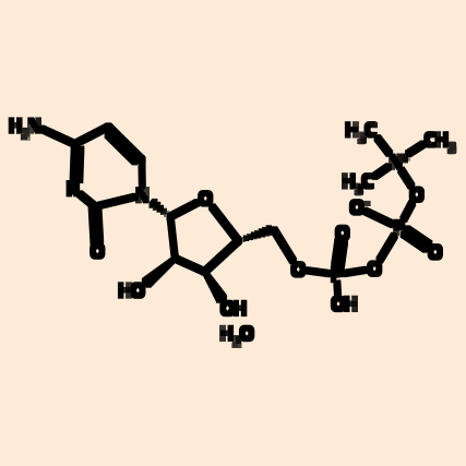 C[N+](C)(C)OP(=O)([O-])OP(=O)(O)OC[C@H]1O[C@@H](n2ccc(N)nc2=O)[C@H](O)[C@@H]1O.O